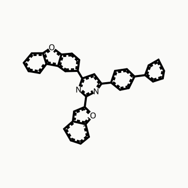 c1ccc(-c2ccc(-c3cc(-c4ccc5oc6ccccc6c5c4)nc(-c4cc5ccccc5o4)n3)cc2)cc1